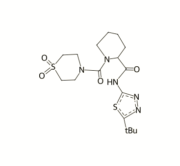 CC(C)(C)c1nnc(NC(=O)C2CCCCN2C(=O)N2CCS(=O)(=O)CC2)s1